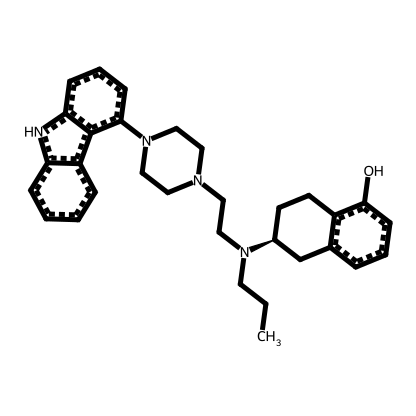 CCCN(CCN1CCN(c2cccc3[nH]c4ccccc4c23)CC1)[C@H]1CCc2c(O)cccc2C1